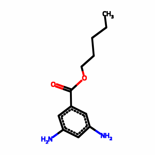 CCCCCOC(=O)c1cc(N)cc(N)c1